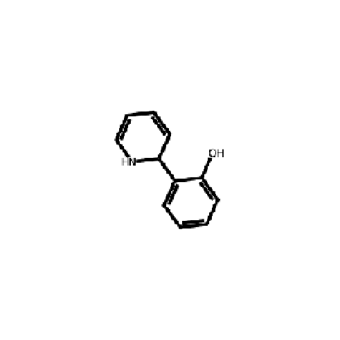 Oc1ccccc1C1C=CC=CN1